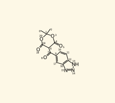 CC1(C)OC(=O)C(C(=O)c2ccc3[nH]nnc3c2)C(=O)O1